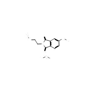 CCCOc1ccc2c(c1)C(=O)N(CCO[N+](=O)[O-])C2=O.CCNCC